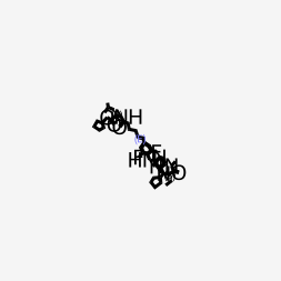 CC[C@H]1C(=O)N(C)c2cnc(Nc3c(F)cc(/C=C/CCCC(=O)N[C@H](CC(C)C)C(=O)OC4CCCC4)cc3F)nc2N1C1CCCC1